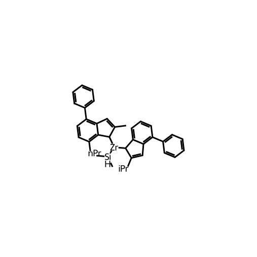 CCCc1ccc(-c2ccccc2)c2c1[CH]([Zr]([CH]1C(C(C)C)=Cc3c(-c4ccccc4)cccc31)[SiH](C)C)C(C)=C2